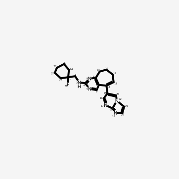 FC1(CNc2ncc3c(n2)CCCC=C3c2cnc3nccn3c2)CCCCC1